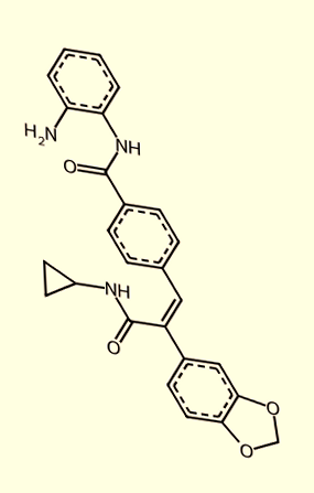 Nc1ccccc1NC(=O)c1ccc(C=C(C(=O)NC2CC2)c2ccc3c(c2)OCO3)cc1